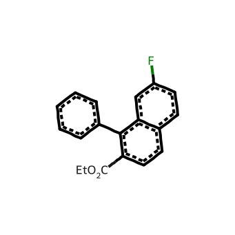 CCOC(=O)c1ccc2ccc(F)cc2c1-c1ccccc1